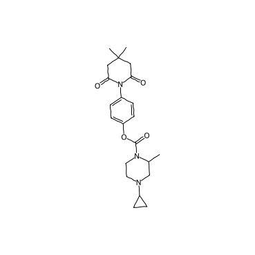 CC1CN(C2CC2)CCN1C(=O)Oc1ccc(N2C(=O)CC(C)(C)CC2=O)cc1